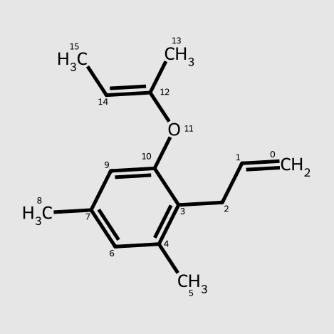 C=CCc1c(C)cc(C)cc1OC(C)=CC